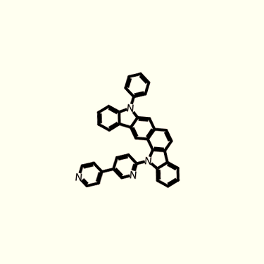 c1ccc(-n2c3ccccc3c3cc4c(ccc5c6ccccc6n(-c6ccc(-c7ccncc7)cn6)c45)cc32)cc1